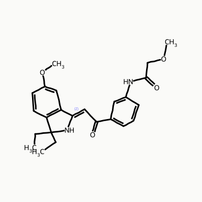 CCC1(CC)N/C(=C\C(=O)c2cccc(NC(=O)COC)c2)c2cc(OC)ccc21